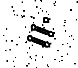 [Cr].[O]=[Cr].[O]=[Cr]